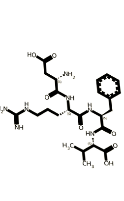 CC(C)[C@H](NC(=O)[C@H](Cc1ccccc1)NC(=O)[C@H](CCCNC(=N)N)NC(=O)[C@@H](N)CC(=O)O)C(=O)O